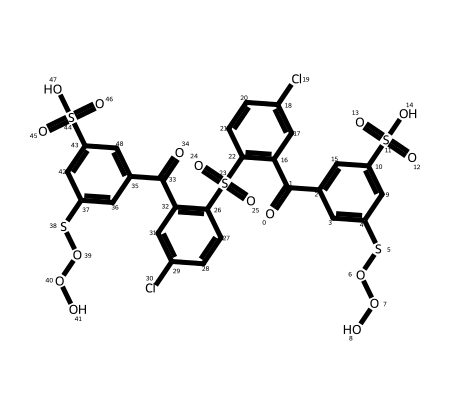 O=C(c1cc(SOOO)cc(S(=O)(=O)O)c1)c1cc(Cl)ccc1S(=O)(=O)c1ccc(Cl)cc1C(=O)c1cc(SOOO)cc(S(=O)(=O)O)c1